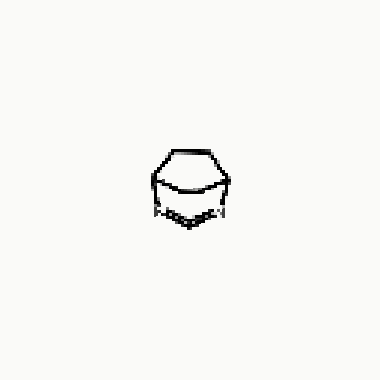 C1=NC2CCC(CC2)N=1